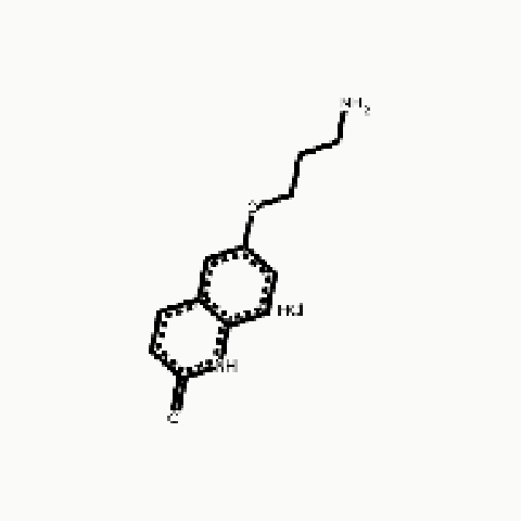 Cl.NCCCOc1ccc2[nH]c(=O)ccc2c1